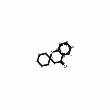 O=C1CC2(CCCCC2)Sc2ccccc21